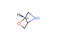 C1O[C@@H]2CNC12